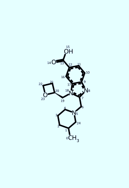 CC1CCCN(Cc2nc3ccc(C(=O)O)cc3n2C[C@@H]2CCO2)C1